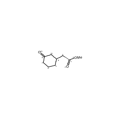 COC(=O)CC1CCCC(=O)C1